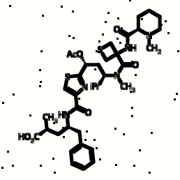 CC(=O)O[C@H](C[C@H](C(C)C)N(C)C(=O)C1(NC(=O)[C@H]2CCCCN2C)CSC1)c1nc(C(=O)N[C@@H](Cc2ccccc2)C[C@H](C)C(=O)O)cs1